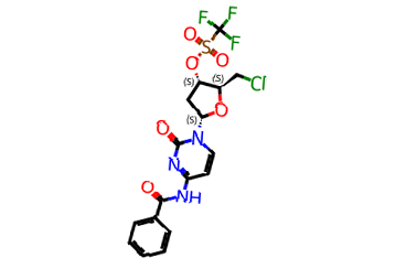 O=C(Nc1ccn([C@@H]2C[C@H](OS(=O)(=O)C(F)(F)F)[C@@H](CCl)O2)c(=O)n1)c1ccccc1